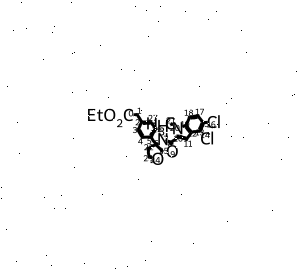 CCOC(=O)Cc1ccc(C2(NC(=O)c3cc4c(Cl)c(Cl)ccc4n3C)CCOC2)cc1